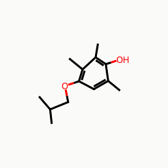 Cc1cc(OCC(C)C)c(C)c(C)c1O